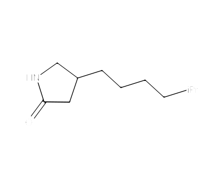 CC(C)CCCCC1CNC(=O)C1